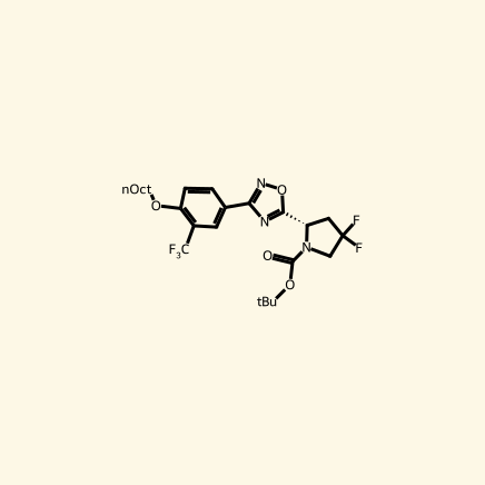 CCCCCCCCOc1ccc(-c2noc([C@@H]3CC(F)(F)CN3C(=O)OC(C)(C)C)n2)cc1C(F)(F)F